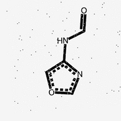 O=CNc1cocn1